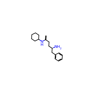 C=C(CC[C@@H](N)Cc1ccccc1)NC1CCCCC1